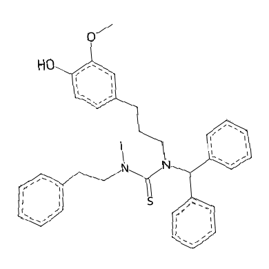 COc1cc(CCCN(C(=S)N(I)CCc2ccccc2)C(c2ccccc2)c2ccccc2)ccc1O